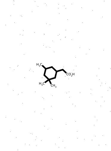 CC1CC(CC(=O)O)CC(C)(C)C1